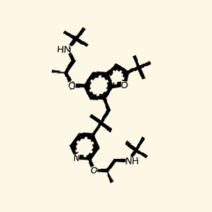 C[C@H](CNC(C)(C)C)Oc1cc(C(C)(C)Cc2cc(O[C@@H](C)CNC(C)(C)C)cc3cc(C(C)(C)C)oc23)ccn1